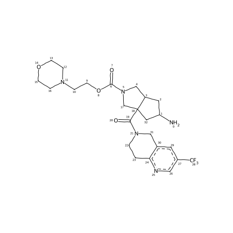 NC1CC2CN(C(=O)OCCN3CCOCC3)CC2(C(=O)N2CCc3ncc(C(F)(F)F)cc3C2)C1